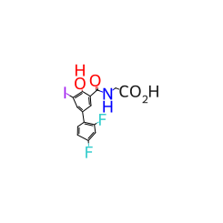 O=C(O)CNC(=O)c1cc(-c2ccc(F)cc2F)cc(I)c1O